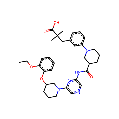 CCOc1ccccc1OC1CCCN(c2cncc(NC(=O)C3CCCN(c4cccc(CC(C)(C)C(=O)O)c4)C3)n2)C1